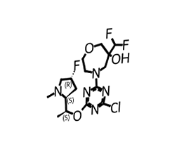 C[C@H](Oc1nc(Cl)nc(N2CCOCC(O)(C(F)F)C2)n1)[C@@H]1C[C@@H](F)CN1C